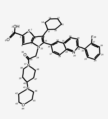 O=C(O)c1cc2c(s1)c(C1CCCCC1)c(-c1ccc3nc(-c4ccccc4F)ccc3c1)n2CC(=O)N1CCC(N2CCOCC2)CC1